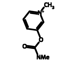 CNC(=O)Oc1ccc[n+](C)c1